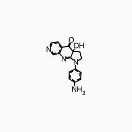 Nc1ccc(N2CCC3(O)C(=O)c4ccncc4N=C23)cc1